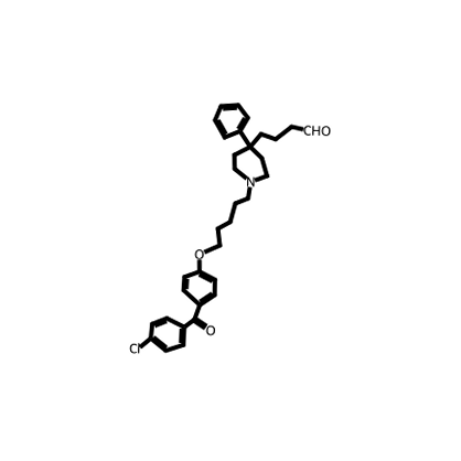 O=CCCCC1(c2ccccc2)CCN(CCCCCOc2ccc(C(=O)c3ccc(Cl)cc3)cc2)CC1